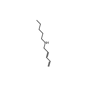 C=C/C=C/CNCCCCC